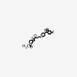 CC(=O)N1CCc2sc(C(=O)CCCN3CCC(c4noc5cc(F)ccc45)CC3)cc2C1